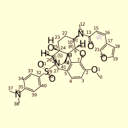 COc1ccc2c3c1O[C@H]1[C@H](N(C)C(=O)/C=C\c4ccoc4)CC[C@@]4(O)[C@@H](C2)N(S(=O)(=O)c2ccc(N(C)C)cc2)CC[C@]314